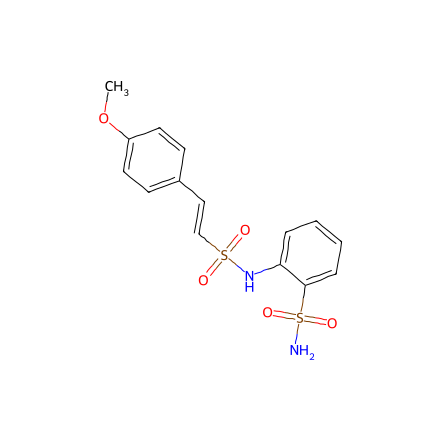 COc1ccc(C=CS(=O)(=O)Nc2ccccc2S(N)(=O)=O)cc1